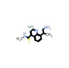 CNC(=S)c1ccnc2c(C(C)CN)cccc12.Cl